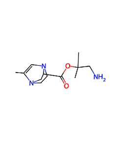 CC1=CN2CCN1CC2C(=O)OC(C)(C)CN